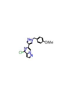 COc1ccc(Cn2cc(-c3cn4nccc4c(Cl)n3)cn2)cc1